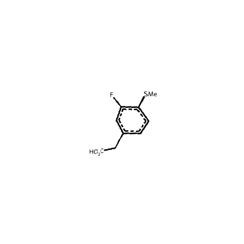 CSc1ccc(CC(=O)O)cc1F